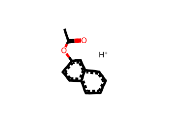 CC(=O)Oc1ccc2ccccc2c1.[H+]